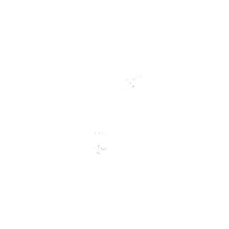 CC(CN1C(=O)C=CC1=O)OC(=O)CCCCCCCCCC(=O)OC(C)CN1C(=O)C=CC1=O